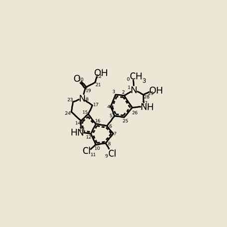 CN1c2ccc(-c3cc(Cl)c(Cl)c4[nH]c5c(c34)CN(C(=O)CO)CC5)cc2NC1O